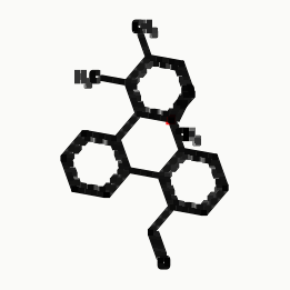 Cc1ccc(C)c(-c2ccccc2-c2c(C=O)cccc2C=O)c1C